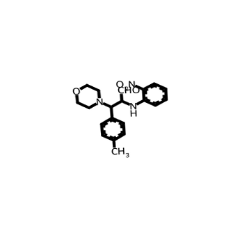 Cc1ccc(C(C(C=O)Nc2ccccc2[N+](=O)[O-])N2CCOCC2)cc1